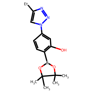 CCc1cn(-c2ccc(B3OC(C)(C)C(C)(C)O3)c(O)c2)nn1